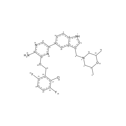 CC1CN(Cc2c[nH]c3ccc(-c4cnc(N)c(OCc5c(F)ccc(F)c5Cl)n4)cc23)CC(C)O1